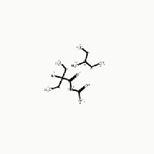 CCC(Br)(CC)C(=O)NC(N)=O.CCC(C)CC